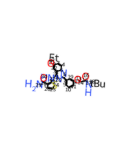 CCOc1ccc2nc(-c3cccc(OCC(=O)NC(C)(C)C)c3)nc(Nc3sccc3C(N)=O)c2c1